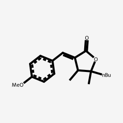 CCCCC1(C)OC(=O)C(=Cc2ccc(OC)cc2)C1C